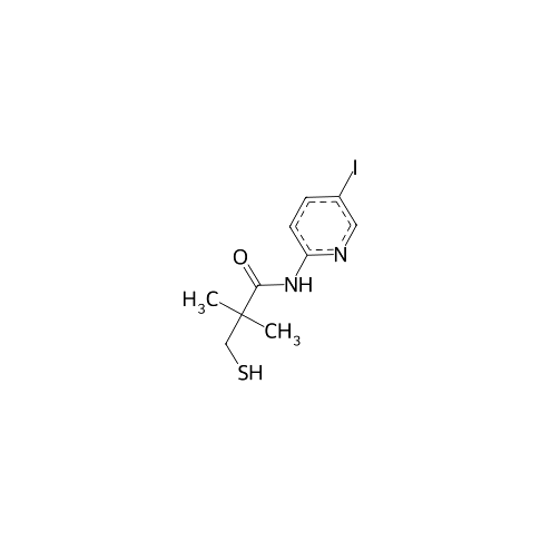 CC(C)(CS)C(=O)Nc1ccc(I)cn1